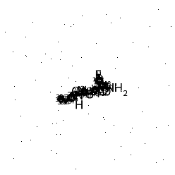 NC(=O)C1(C(=O)N(c2ccc(F)cc2)c2ccc(Oc3ccnc(NC(=O)N4CCC(CN5CCCC5)CC4)c3)cc2F)CC1